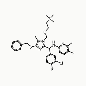 Cc1nc(NC(c2ccc(F)c(Cl)c2)c2nc(SCc3ccccc3)c(C)n2COCC[Si](C)(C)C)ccc1F